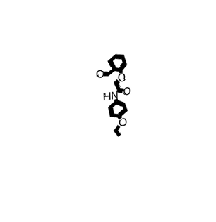 CCOc1ccc(NC(=O)COc2ccccc2C=O)cc1